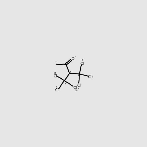 CC(=O)C(C(Cl)(Cl)Cl)C(Cl)(Cl)Cl